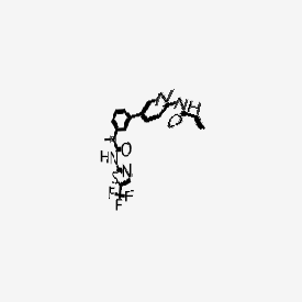 C=CC(=O)Nc1ccc(-c2cccc([C@H](C)C(=O)Nc3ncc(C(F)(F)F)s3)c2)cn1